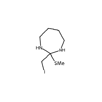 CSC1(CI)NCCCCN1